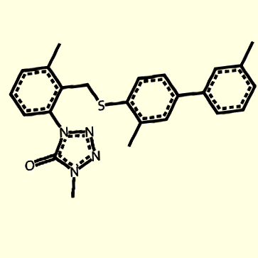 Cc1cccc(-c2ccc(SCc3c(C)cccc3-n3nnn(C)c3=O)c(C)c2)c1